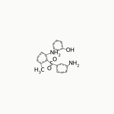 Cc1cccc(N)c1S(=O)(=O)c1cccc(N)c1.Oc1ccccc1